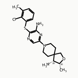 Cc1cccc(Sc2ncc(N3CCC4(CC3)CO[C@H](C)[C@@H]4N)nc2N)c1Cl